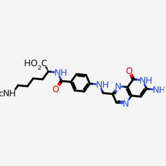 CC(=O)NCCCC[C@H](NC(=O)c1ccc(NCc2cnc3cc(N)[nH]c(=O)c3n2)cc1)C(=O)O